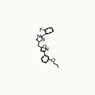 CCCOc1cccc(-c2cc(CC3C=NC(c4ccccc4F)=N3)on2)c1